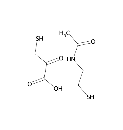 CC(=O)NCCS.O=C(O)C(=O)CS